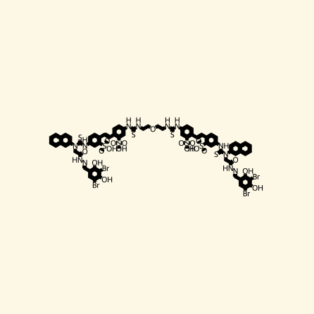 O=C(CN(C(=S)Nc1ccc(/C=C/c2ccc(NC(=S)NCCOCCNC(=S)Nc3ccc(/C=C/c4ccc(NC(=S)N(CC(=O)N/N=C/c5cc(Br)c(O)c(Br)c5O)c5ccc6ccccc6c5)cc4S(=O)(=O)O)c(S(=O)(=O)O)c3)cc2S(=O)(=O)O)c(S(=O)(=O)O)c1)c1ccc2ccccc2c1)N/N=C/c1cc(Br)c(O)c(Br)c1O